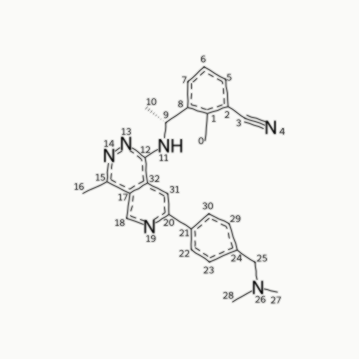 Cc1c(C#N)cccc1[C@@H](C)Nc1nnc(C)c2cnc(-c3ccc(CN(C)C)cc3)cc12